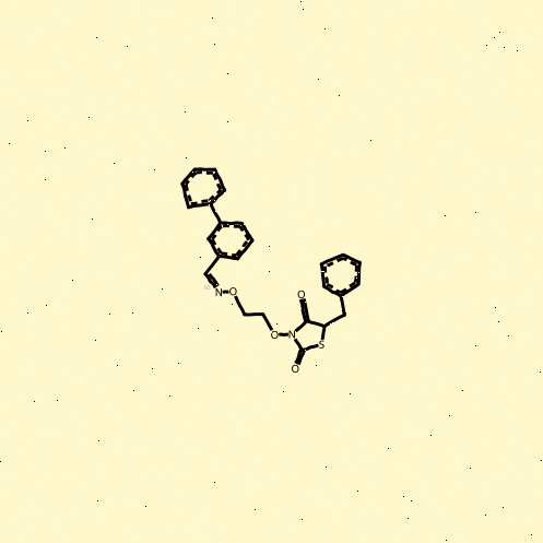 O=C1SC(Cc2ccccc2)C(=O)N1OCCO/N=C\c1cccc(-c2ccccc2)c1